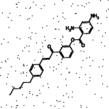 CCCCCc1ccc(C=CC(=O)c2cccc(OC(=O)c3ccc(N)cc3N)c2)cc1